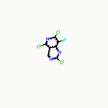 Fc1c(Cl)nc(Cl)c2cnc(Cl)nc12